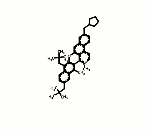 Cc1c2c(c(CC(C)(C)C)c3ccc(CC(C)(C)C)cc13)Oc1cc3cc(CC4CCCC4)ccc3c3cc[n+](C)c-2c13